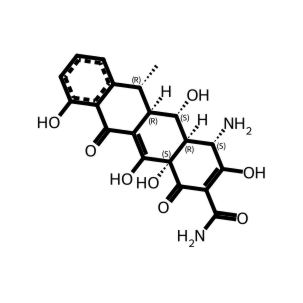 C[C@H]1c2cccc(O)c2C(=O)C2=C(O)[C@]3(O)C(=O)C(C(N)=O)=C(O)[C@@H](N)[C@@H]3[C@@H](O)[C@@H]21